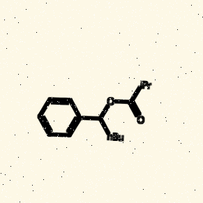 CCCCC(OC(=O)C(C)C)c1ccccc1